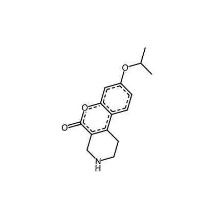 CC(C)Oc1ccc2c3c(c(=O)oc2c1)CNCC3